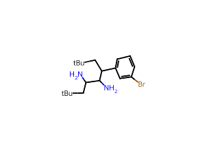 CC(C)(C)CC(N)C(N)C(CC(C)(C)C)c1cccc(Br)c1